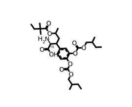 CCC(C)COC(=O)Oc1ccc(C(CC(C)OC(=O)C(C)(C)CC)[C@H](N)C(=O)O)cc1OC(=O)OCC(C)CC